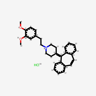 COc1ccc(CCN2CCC(=C3c4ccccc4C=Cc4ccccc43)CC2)cc1OC.Cl